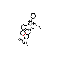 CCCCN1C(c2ccccc2)=NC(c2ccccc2)C1C(C)N(Cc1ccccc1)Cc1ccc(C(N)=O)cc1